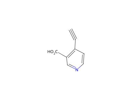 C#Cc1ccncc1C(=O)O